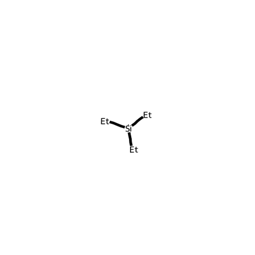 CC[Si](CC)CC